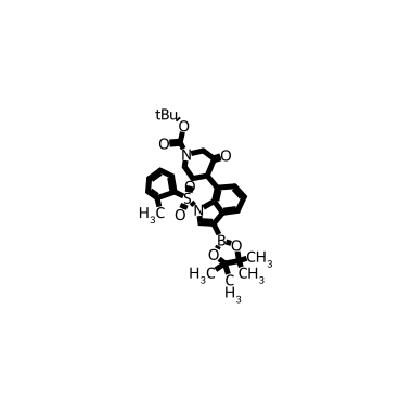 Cc1ccccc1S(=O)(=O)n1cc(B2OC(C)(C)C(C)(C)O2)c2cccc(C3CCN(C(=O)OC(C)(C)C)CC3=O)c21